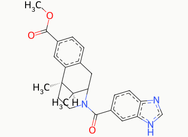 COC(=O)c1ccc2c(c1)[C@]1(C)CCN(C(=O)c3ccc4nc[nH]c4c3)C(C2)[C@H]1C